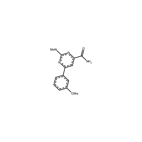 CNc1nc(C(N)=O)cc(-c2cccc(OC)c2)n1